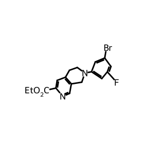 CCOC(=O)c1cc2c(cn1)CN(c1cc(F)cc(Br)c1)CC2